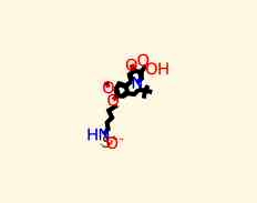 COc1cc2c(cc1OCCCCCN[S+](C)[O-])CC(C(C)(C)C)n1cc(C(=O)O)c(=O)cc1-2